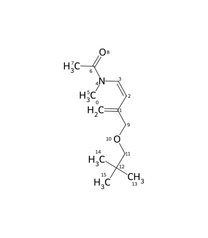 C=C(/C=C\N(C)C(C)=O)COCC(C)(C)C